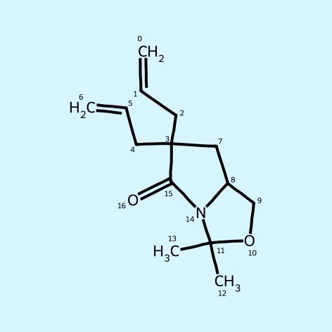 C=CCC1(CC=C)CC2COC(C)(C)N2C1=O